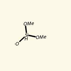 CO[SiH]([O])OC